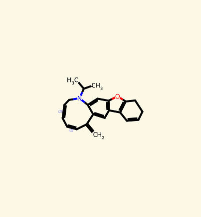 C=C1/C=C\C=C/CN(C(C)C)c2cc3oc4c(c3cc21)C=CCC4